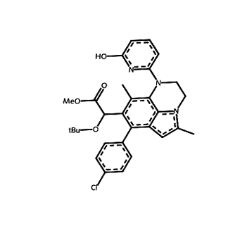 COC(=O)C(OC(C)(C)C)c1c(C)c2c3c(cc(C)n3CCN2c2cccc(O)n2)c1-c1ccc(Cl)cc1